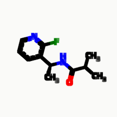 CC(C)C(=O)N[C@@H](C)c1cccnc1F